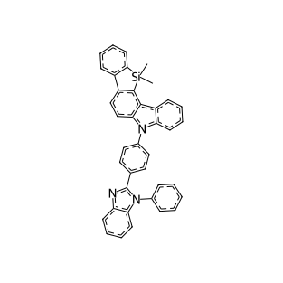 C[Si]1(C)c2ccccc2-c2ccc3c(c21)c1ccccc1n3-c1ccc(-c2nc3ccccc3n2-c2ccccc2)cc1